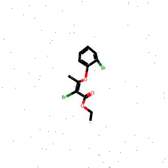 CCOC(=O)/C(Br)=C(/C)Oc1ccccc1Br